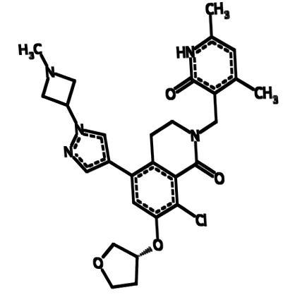 Cc1cc(C)c(CN2CCc3c(-c4cnn(C5CN(C)C5)c4)cc(O[C@@H]4CCOC4)c(Cl)c3C2=O)c(=O)[nH]1